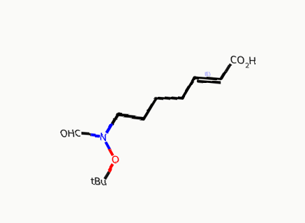 CC(C)(C)ON(C=O)CCCC/C=C/C(=O)O